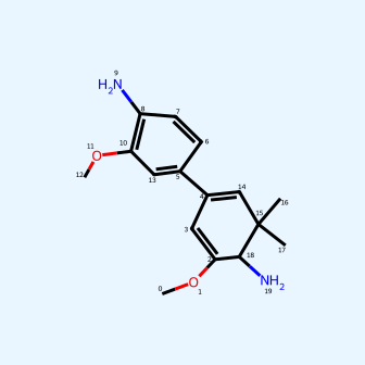 COC1=CC(c2ccc(N)c(OC)c2)=CC(C)(C)C1N